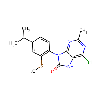 CSc1cc(C(C)C)ccc1-n1c(=O)[nH]c2c(Cl)nc(C)nc21